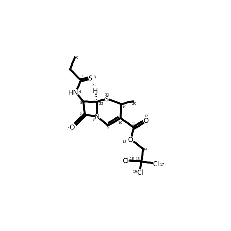 CCC(=S)NC1C(=O)N2C=C(C(=O)OCC(Cl)(Cl)Cl)C(C)S[C@H]12